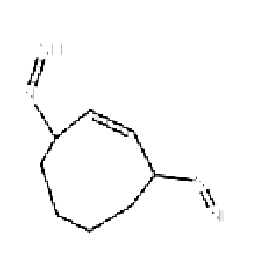 N=NC1/C=C\C(N=N)CCCC1